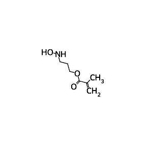 C=C(C)C(=O)OCCCNO